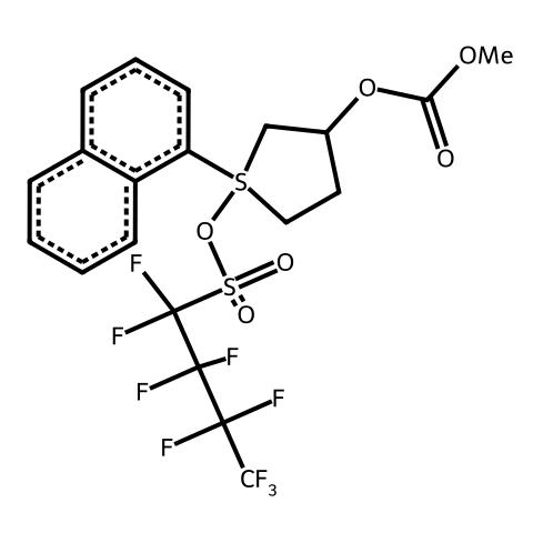 COC(=O)OC1CCS(OS(=O)(=O)C(F)(F)C(F)(F)C(F)(F)C(F)(F)F)(c2cccc3ccccc23)C1